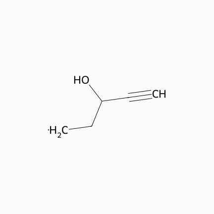 C#CC(O)C[CH2]